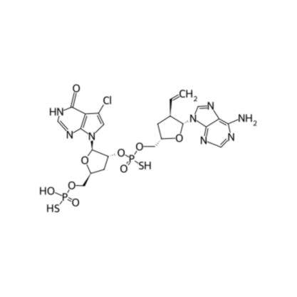 C=C[C@@H]1C[C@@H](COP(=O)(S)O[C@@H]2C[C@@H](COP(=O)(O)S)O[C@H]2n2cc(Cl)c3c(=O)[nH]cnc32)O[C@H]1n1cnc2c(N)ncnc21